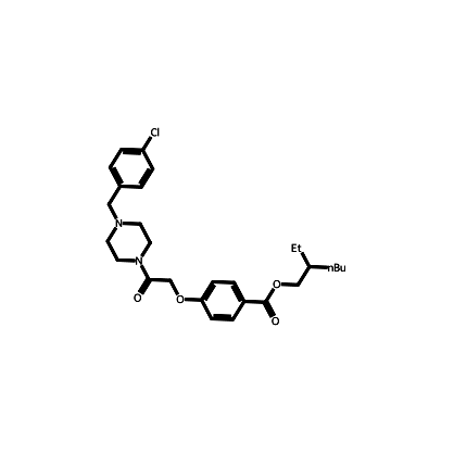 CCCCC(CC)COC(=O)c1ccc(OCC(=O)N2CCN(Cc3ccc(Cl)cc3)CC2)cc1